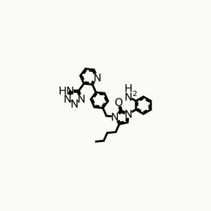 CCCCc1cn(-c2ccccc2N)c(=O)n1Cc1ccc(-c2ncccc2-c2nnn[nH]2)cc1